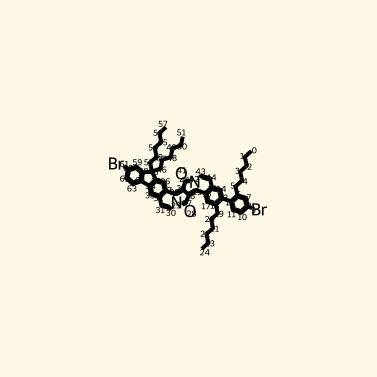 CCCCCCc1cc(Br)ccc1-c1cc2c(cc1CCCCCC)C1=C3C(=O)N4C=Cc5cc6c(cc5C4=C3C(=O)N1C=C2)C(CCCCCC)(CCCCCC)c1cc(Br)ccc1-6